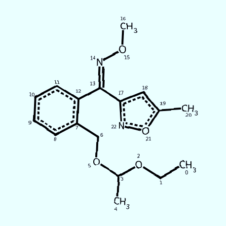 CCOC(C)OCc1ccccc1C(=NOC)c1cc(C)on1